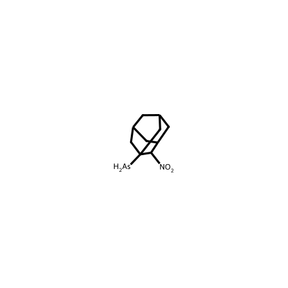 O=[N+]([O-])C1C2CC3CC(C2)CC1([AsH2])C3